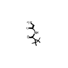 CC1(C)C(C(=O)NC(=O)CN)C1(C)C